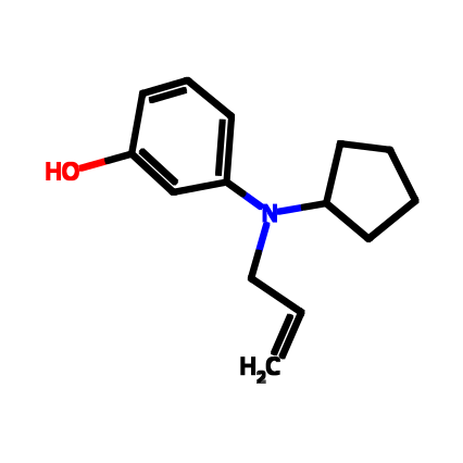 C=CCN(c1cccc(O)c1)C1CCCC1